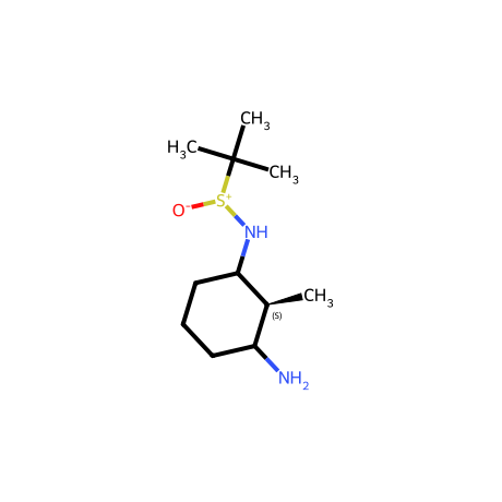 C[C@H]1C(N)CCCC1N[S+]([O-])C(C)(C)C